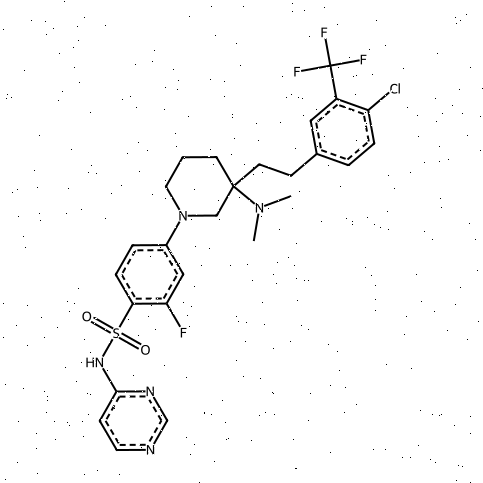 CN(C)C1(CCc2ccc(Cl)c(C(F)(F)F)c2)CCCN(c2ccc(S(=O)(=O)Nc3ccncn3)c(F)c2)C1